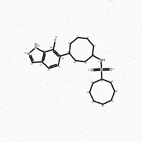 O=S(=O)(NC1CCCCC(c2ccc3cn[nH]c3c2F)CC1)C1CCCCCCC1